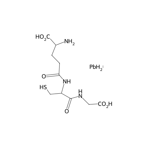 NC(CCC(=O)NC(CS)C(=O)NCC(=O)O)C(=O)O.[PbH2]